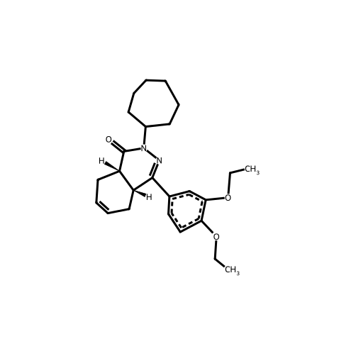 CCOc1ccc(C2=NN(C3CCCCCC3)C(=O)[C@H]3CC=CC[C@@H]23)cc1OCC